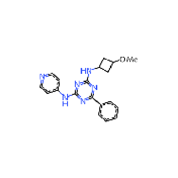 COC1CC(Nc2nc(Nc3ccncc3)nc(-c3ccccc3)n2)C1